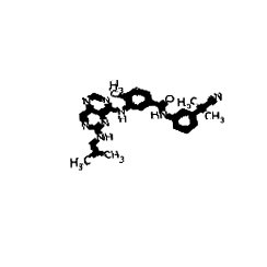 Cc1ccc(C(=O)Nc2cccc(C(C)(C)C#N)c2)cc1Nc1ncnc2cnc(NCC(C)C)nc12